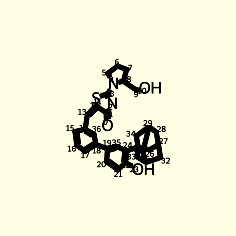 O=C1N=C(N2CCCC2CO)SC1=Cc1cccc(-c2ccc(O)c(C34CC5CC(CC(C5)C3)C4)c2)c1